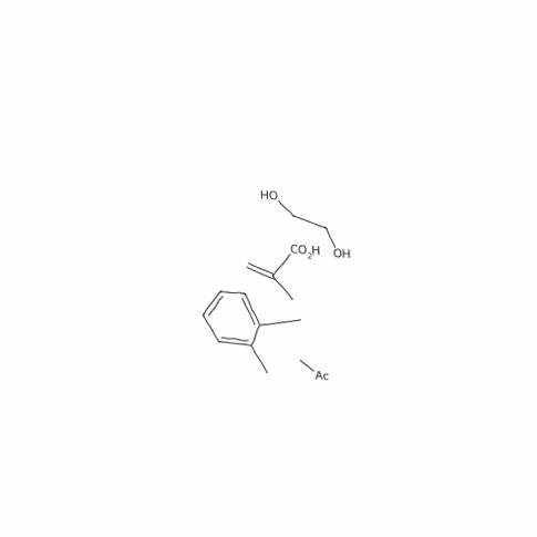 C=C(C)C(=O)O.CC(C)=O.Cc1ccccc1C.OCCO